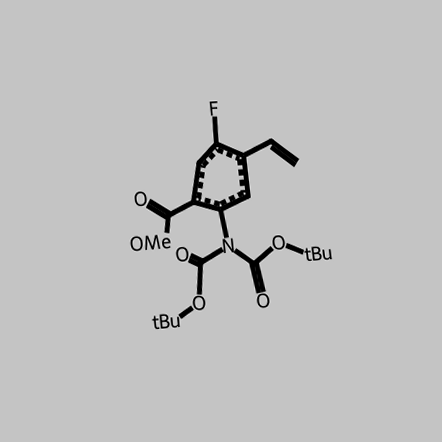 C=Cc1cc(N(C(=O)OC(C)(C)C)C(=O)OC(C)(C)C)c(C(=O)OC)cc1F